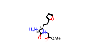 COC(=O)CN1C(=O)[C@@H](N)[C@H]1CCc1ccco1